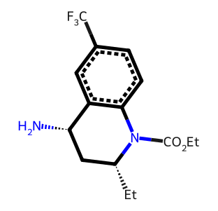 CCOC(=O)N1c2ccc(C(F)(F)F)cc2[C@@H](N)C[C@H]1CC